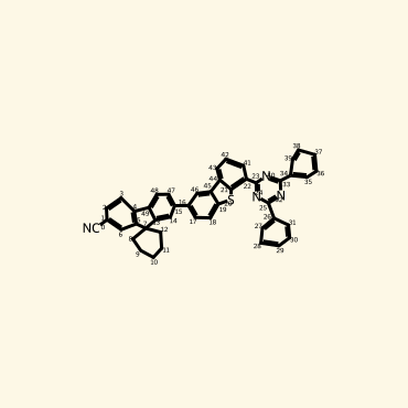 N#Cc1ccc2c(c1)C1(CCCCC1)c1cc(-c3ccc4sc5c(-c6nc(-c7ccccc7)nc(-c7ccccc7)n6)cccc5c4c3)ccc1-2